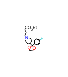 CCOC(=O)CCCN1CCC(C2(c3ccc(F)cc3)OCCO2)CC1